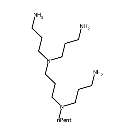 CCCCCN(CCCN)CCCN(CCCN)CCCN